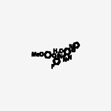 CO[C@H]1CC[C@H](Oc2cc(F)ccc2Nc2ncnc3cc(N=S4(=O)CCCC4)cc(C)c23)CC1